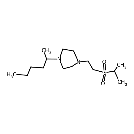 CCCCC(C)N1CCN(CCS(=O)(=O)C(C)C)CC1